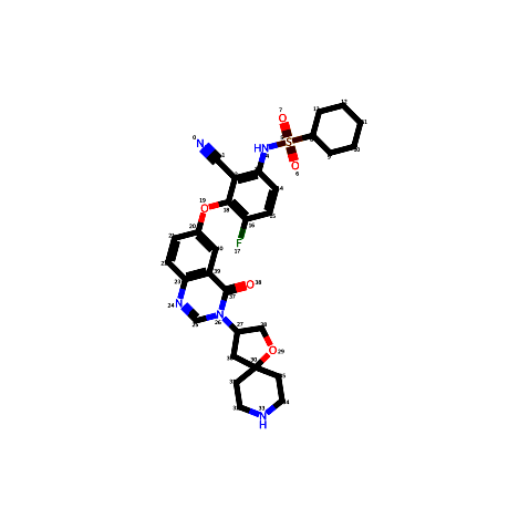 N#Cc1c(NS(=O)(=O)C2CCCCC2)ccc(F)c1Oc1ccc2ncn(C3COC4(CCNCC4)C3)c(=O)c2c1